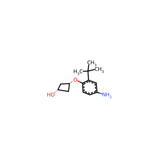 CC(C)(C)c1cc(N)ccc1O[C@H]1C[C@@H](O)C1